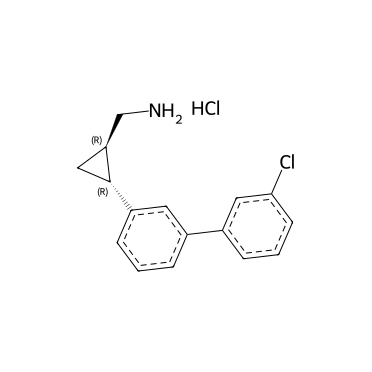 Cl.NC[C@@H]1C[C@H]1c1cccc(-c2cccc(Cl)c2)c1